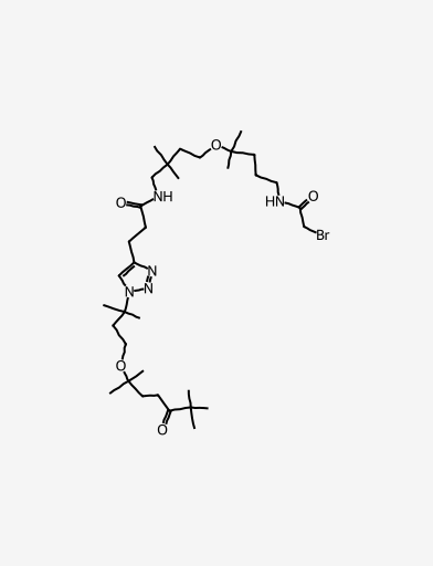 CC(C)(CCOC(C)(C)CCCNC(=O)CBr)CNC(=O)CCc1cn(C(C)(C)CCOC(C)(C)CCC(=O)C(C)(C)C)nn1